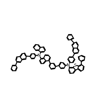 c1ccc(-c2ccc3ccc(-c4ccc(N(c5cccc6ccccc56)c5cccc6c(-c7cccc(-c8ccc(N(c9ccc(-c%10ccc%11ccc(-c%12ccccc%12)cc%11c%10)cc9)c9cccc%10c9sc9c(-c%11ccccc%11)cccc9%10)cc8)c7)cccc56)cc4)cc3c2)cc1